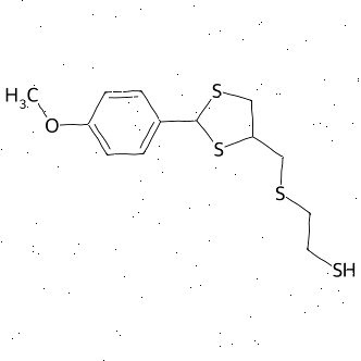 COc1ccc(C2SCC(CSCCS)S2)cc1